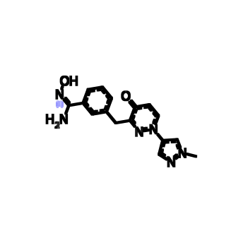 Cn1cc(-n2ccc(=O)c(Cc3cccc(/C(N)=N\O)c3)n2)cn1